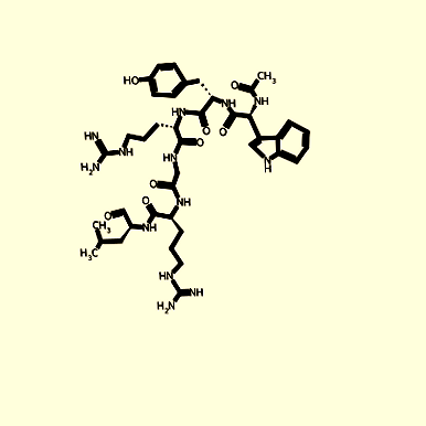 CC(=O)N[C@H](C(=O)N[C@@H](Cc1ccc(O)cc1)C(=O)N[C@@H](CCCNC(=N)N)C(=O)NCC(=O)N[C@@H](CCCNC(=N)N)C(=O)N[C@H](C=O)CC(C)C)c1c[nH]c2ccccc12